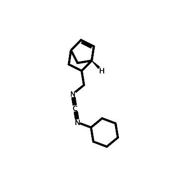 C(=NCC1CC2C=C[C@H]1C2)=NC1CCCCC1